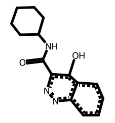 O=C(NC1CCCCC1)c1nnc2ccccc2c1O